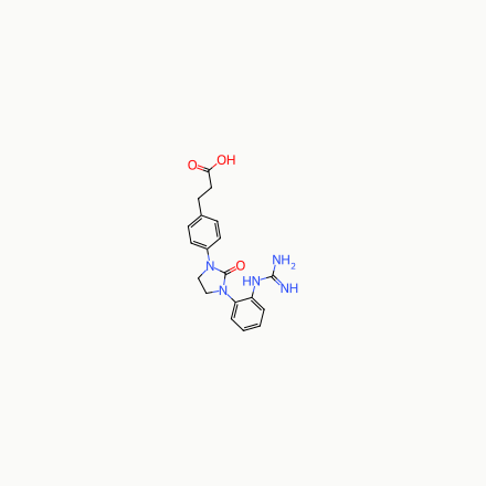 N=C(N)Nc1ccccc1N1CCN(c2ccc(CCC(=O)O)cc2)C1=O